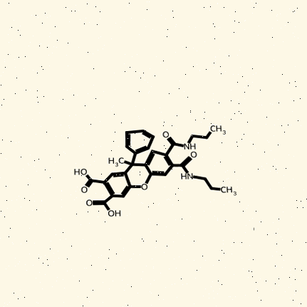 CCCNC(=O)c1cc2c(cc1C(=O)NCCC)C(C)(c1ccccc1)c1cc(C(=O)O)c(C(=O)O)cc1O2